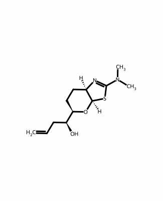 C=CC[C@H](O)[C@H]1CC[C@H]2N=C(N(C)C)S[C@H]2O1